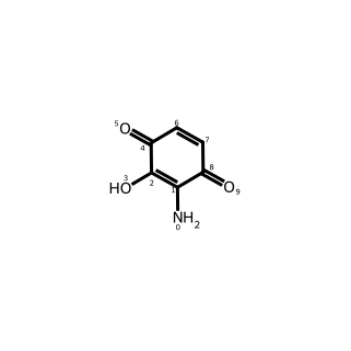 NC1=C(O)C(=O)C=CC1=O